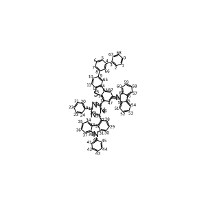 c1ccc(-c2cccc(-c3ccc4sc5c(-c6nc(-c7ccccc7)nc(-c7cccc8c7c7ccccc7n8-c7ccccc7)n6)cc(-n6c7ccccc7c7ccccc76)cc5c4c3)c2)cc1